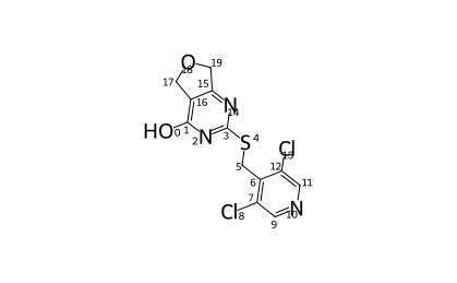 Oc1nc(SCc2c(Cl)cncc2Cl)nc2c1COC2